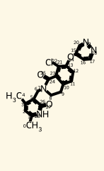 Cc1cc(C)c(CN2CCc3ccc(Oc4ccnnc4)c(Cl)c3C2=O)c(=O)[nH]1